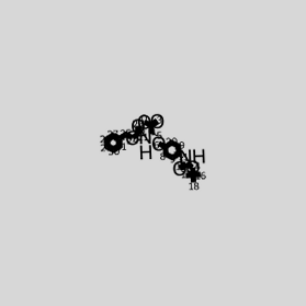 COC(=O)[C@H](COC1CCC(NC(=O)OC(C)(C)C)CC1)NC(=O)OCc1ccccc1